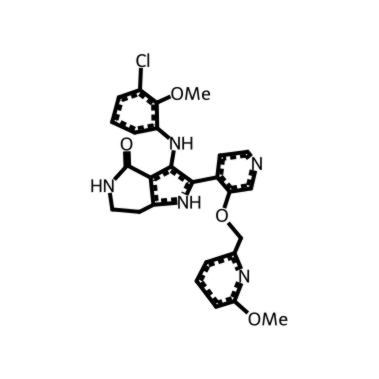 COc1cccc(COc2cnccc2-c2[nH]c3c(c2Nc2cccc(Cl)c2OC)C(=O)NCC3)n1